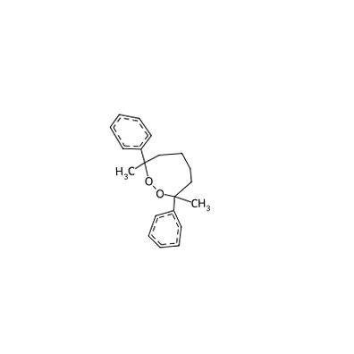 CC1(c2ccccc2)CCCCC(C)(c2ccccc2)OO1